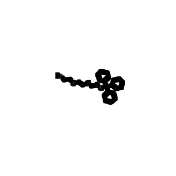 BrCCOCCOCCOC(c1ccccc1)(c1ccccc1)c1ccccc1